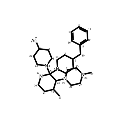 CC(=O)C1CCN(C2(N3CCC(Cc4ccccc4)CC3)[N]CCC(C)C2N2CCN(C)CC2)CC1